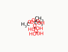 COOOC(C)(C)OO.O=C(O)O.O=C(O)O